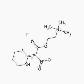 C[N+](C)(C)CCOC(=O)/C(=C1/NCCCS1)[N+](=O)[O-].[I-]